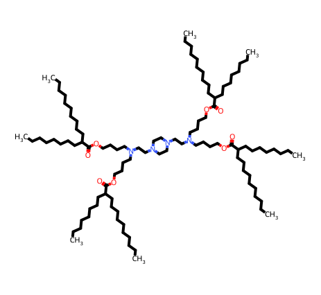 CCCCCCCCCCC(CCCCCCCC)C(=O)OCCCCN(CCCCOC(=O)C(CCCCCCCC)CCCCCCCCCC)CCN1CCN(CCN(CCCCOC(=O)C(CCCCCCCC)CCCCCCCCCC)CCCCOC(=O)C(CCCCCCCC)CCCCCCCCCC)CC1